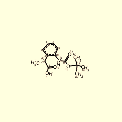 C[C@@H](C(=O)O)c1ccccc1NC(=O)OC(C)(C)C